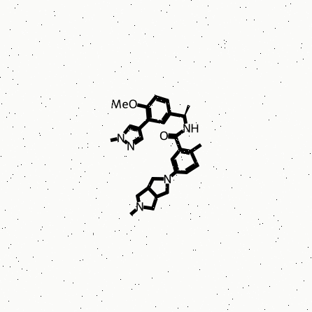 COc1ccc([C@@H](C)NC(=O)c2cc(N3CC4CN(C)CC4C3)ccc2C)cc1-c1cnn(C)c1